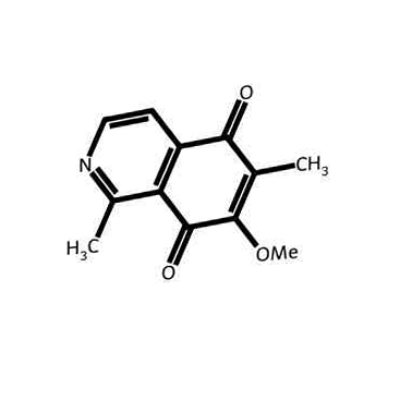 COC1=C(C)C(=O)c2ccnc(C)c2C1=O